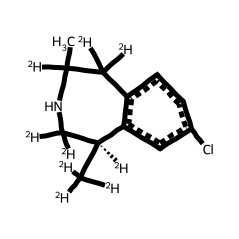 [2H]C1(C)NC([2H])([2H])[C@]([2H])(C([2H])([2H])[2H])c2cc(Cl)ccc2C1([2H])[2H]